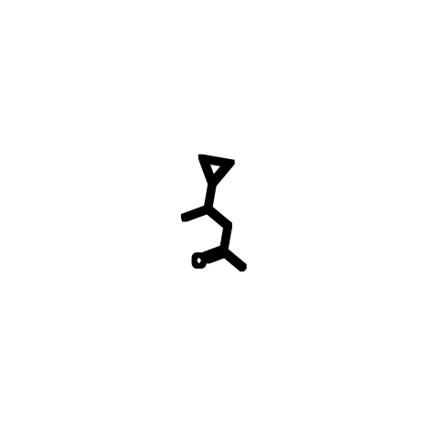 CC(=O)CC(C)C1CC1